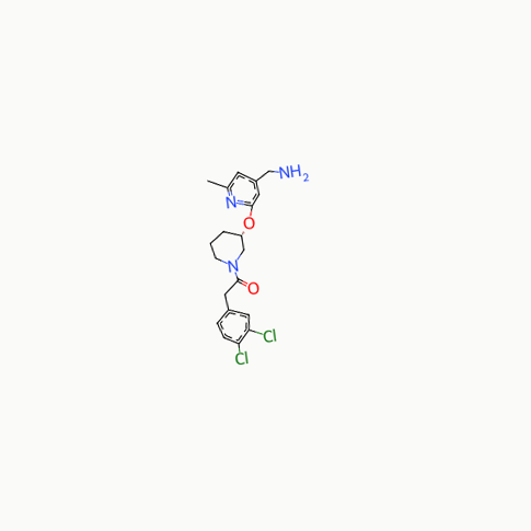 Cc1cc(CN)cc(O[C@H]2CCCN(C(=O)Cc3ccc(Cl)c(Cl)c3)C2)n1